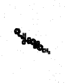 CC1CCN(S(=O)(=O)c2ccc3c(c2)CC(C(=O)NCCCc2ccccc2)O3)CC1